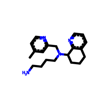 Cc1ccnc(CN(CCCCN)C2CCCc3cccnc32)c1